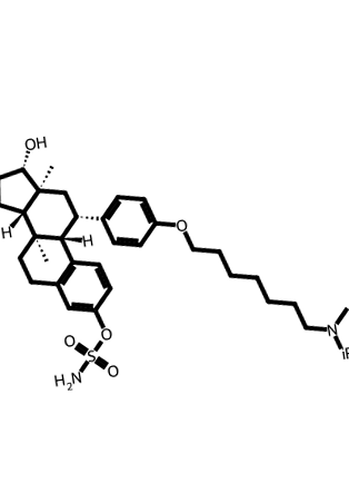 CC(C)N(C)CCCCCCCOc1ccc([C@H]2C[C@@]3(C)[C@@H](CC[C@@H]3O)[C@]3(C)CCc4cc(OS(N)(=O)=O)ccc4[C@@H]23)cc1